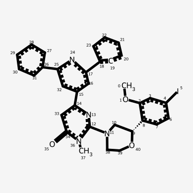 COc1cc(I)ccc1[C@H]1CN(c2nc(-c3cc(-c4ccccc4)nc(-c4ccccc4)c3)cc(=O)n2C)CCO1